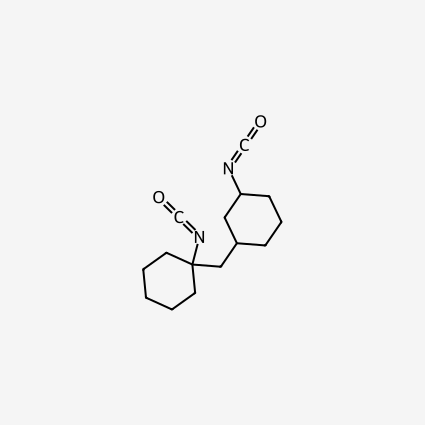 O=C=NC1CCCC(CC2(N=C=O)CCCCC2)C1